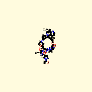 C=CC(=O)N1CC[C@H](C(=O)N(C)[C@H](C(=O)N[C@H]2C[C@H]3CN(CCO3)c3ccc4c(c3)c(c(-c3cccnc3[C@H](C)OC)n4CC)CC(C)(C)COC(=O)[C@@H]3CCCN(N3)C2=O)C(C)C)C1